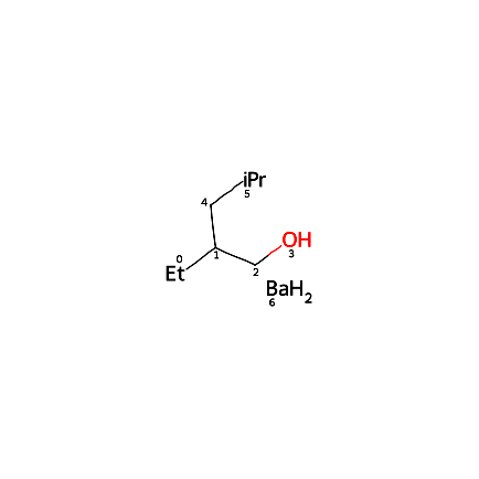 CCC(CO)CC(C)C.[BaH2]